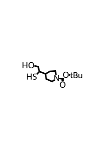 CC(C)(C)OC(=O)N1CCC(C(S)CO)CC1